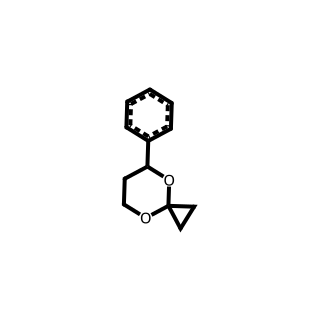 c1ccc(C2CCOC3(CC3)O2)cc1